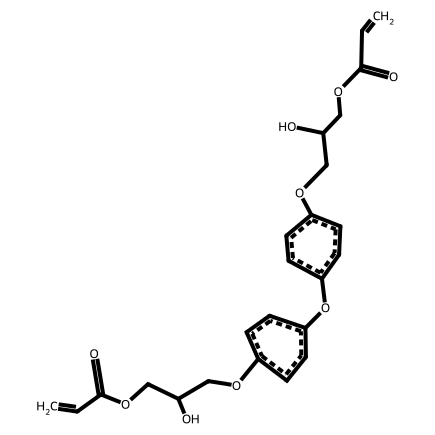 C=CC(=O)OCC(O)COc1ccc(Oc2ccc(OCC(O)COC(=O)C=C)cc2)cc1